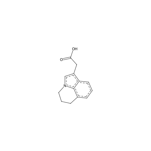 O=C(O)Cc1cn2c3c(cccc13)CCC2